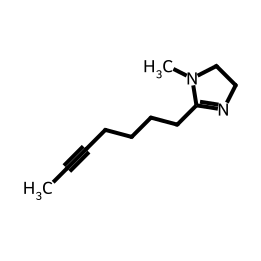 CC#CCCCCC1=NCCN1C